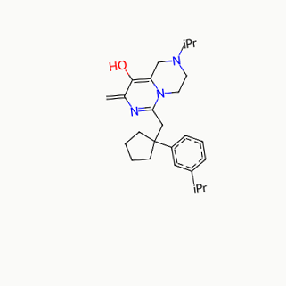 C=C1N=C(CC2(c3cccc(C(C)C)c3)CCCC2)N2CCN(C(C)C)CC2=C1O